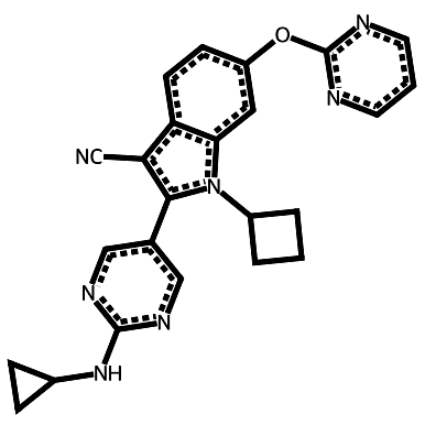 N#Cc1c(-c2cnc(NC3CC3)nc2)n(C2CCC2)c2cc(Oc3ncccn3)ccc12